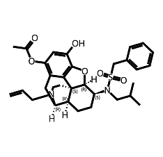 C=CCN1CC[C@]23c4c5c(OC(C)=O)cc(O)c4O[C@H]2[C@@H](N(CC(C)C)S(=O)(=O)Cc2ccccc2)CC[C@H]3[C@H]1C5